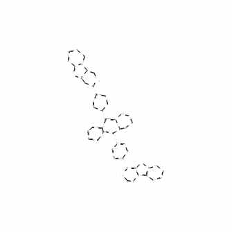 c1ccc2c(c1)sc1cc(-c3ccc(-c4c5ccccc5c(-c5ccc(-c6nccc7c6sc6ccccc67)cc5)c5ccccc45)cc3)ncc12